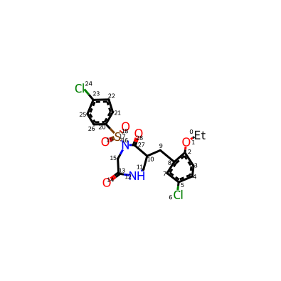 CCOc1ccc(Cl)cc1CC1CNC(=O)CN(S(=O)(=O)c2ccc(Cl)cc2)C1=O